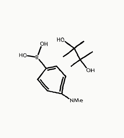 CC(C)(O)C(C)(C)O.CNc1ccc(B(O)O)cc1